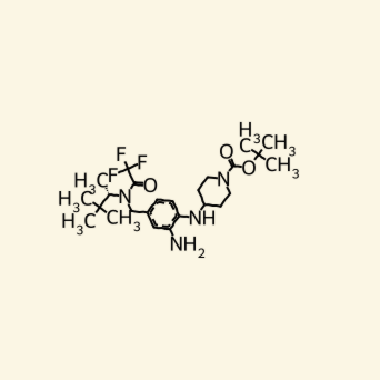 C[C@H](N(Cc1ccc(NC2CCN(C(=O)OC(C)(C)C)CC2)c(N)c1)C(=O)C(F)(F)F)C(C)(C)C